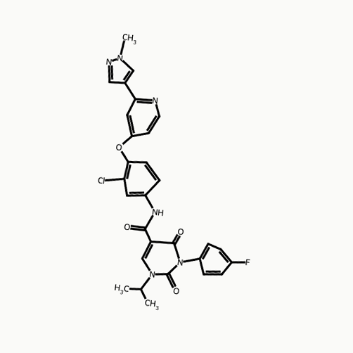 CC(C)n1cc(C(=O)Nc2ccc(Oc3ccnc(-c4cnn(C)c4)c3)c(Cl)c2)c(=O)n(-c2ccc(F)cc2)c1=O